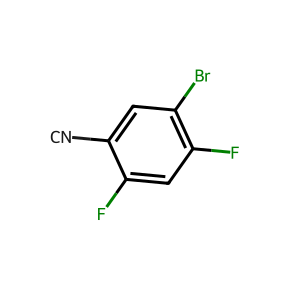 [C-]#[N+]c1cc(Br)c(F)cc1F